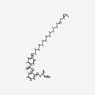 C=CCOCCCCCCCCCCCCCCOc1ccc(C(=O)Oc2ccccc2OCC(F)CCCC)cc1